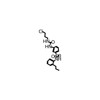 CCCc1ccccc1NS(=O)(=O)c1cccc(NC(=O)NCCCCl)c1